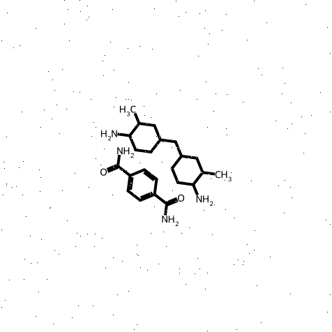 CC1CC(CC2CCC(N)C(C)C2)CCC1N.NC(=O)c1ccc(C(N)=O)cc1